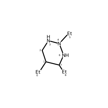 CCC1CNN(CC)NC1CC